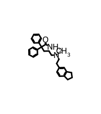 CN(CCCC(C(N)=O)(c1ccccc1)c1ccccc1)CCc1ccc2c(c1)CCC2